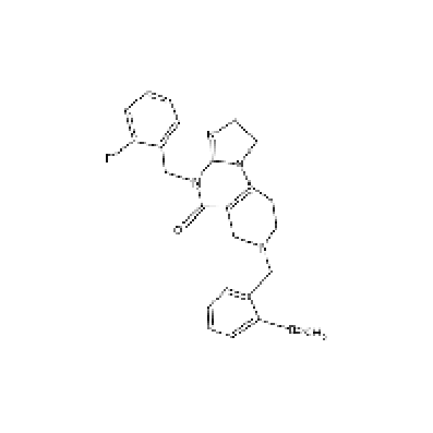 C=Bc1ccccc1CN1CCC2=C(C1)C(=O)N(Cc1ccccc1F)C1=NCCN12